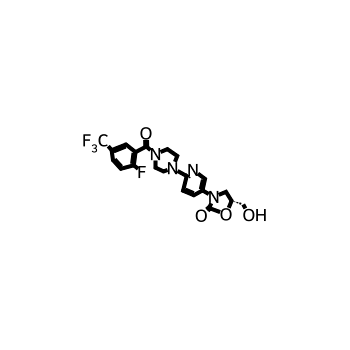 O=C(c1cc(C(F)(F)F)ccc1F)N1CCN(c2ccc(N3C[C@H](CO)OC3=O)cn2)CC1